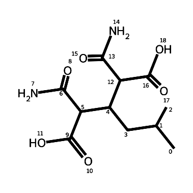 CC(C)CC(C(C(N)=O)C(=O)O)C(C(N)=O)C(=O)O